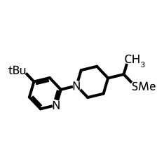 CSC(C)C1CCN(c2cc(C(C)(C)C)ccn2)CC1